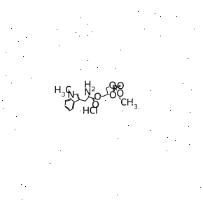 CCOP1(=O)OCC(COC(=O)[C@H](N)Cc2cn(C)c3ccccc23)O1.Cl